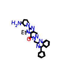 CCn1c(N2CCC[C@@H](N)C2)nc2cnn(Cc3nc(-c4ccccc4)c4ccccc4n3)c(=O)c21